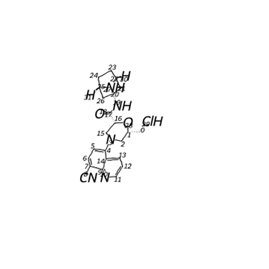 C[C@@H]1CN(c2ccc(C#N)c3ncccc23)C[C@H](C(=O)N[C@H]2C[C@H]3CC[C@@H](C2)N3)O1.Cl